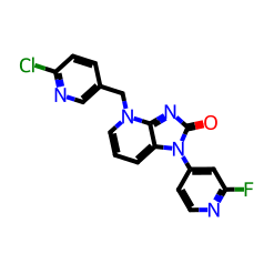 O=c1nc2n(Cc3ccc(Cl)nc3)cccc-2n1-c1ccnc(F)c1